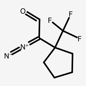 [N-]=[N+]=C(C=O)C1(C(F)(F)F)CCCC1